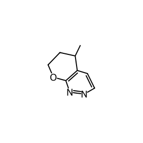 CC1CCOc2nnccc21